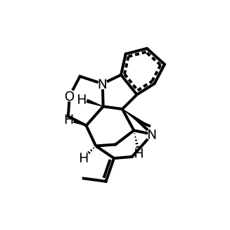 C/C=C1/CN2CC[C@]34c5ccccc5N5COC[C@H]([C@H]53)[C@H]1C[C@H]24